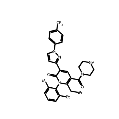 CCc1cccc(CC)c1-n1c(CC(C)C)c(C(=O)N2CCNCC2)cc(-c2ccn(-c3ccc(C(F)(F)F)cc3)n2)c1=O